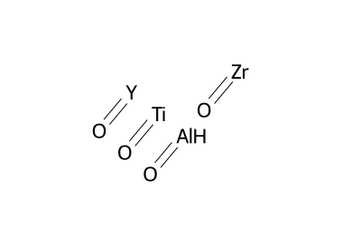 [O]=[AlH].[O]=[Ti].[O]=[Y].[O]=[Zr]